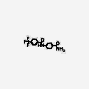 NC(=O)c1ccc(NC(=O)c2ccc(C(F)(F)F)cc2)cc1